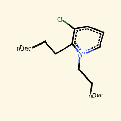 CCCCCCCCCCCCc1c(Cl)ccc[n+]1CCCCCCCCCCCC